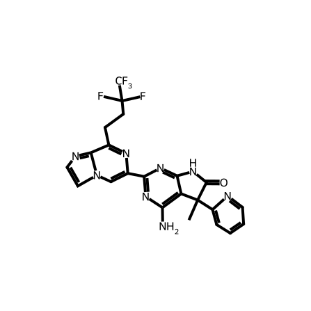 CC1(c2ccccn2)C(=O)Nc2nc(-c3cn4ccnc4c(CCC(F)(F)C(F)(F)F)n3)nc(N)c21